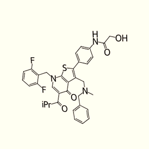 CC(C)C(=O)c1cn(Cc2c(F)cccc2F)c2sc(-c3ccc(NC(=O)CO)cc3)c(CN(C)Cc3ccccc3)c2c1=O